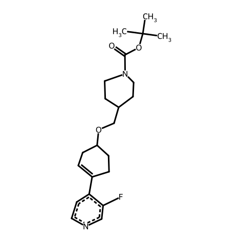 CC(C)(C)OC(=O)N1CCC(COC2CC=C(c3ccncc3F)CC2)CC1